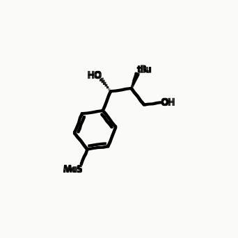 CSc1ccc([C@H](O)[C@H](CO)C(C)(C)C)cc1